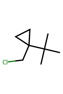 CC(C)(C)C1(CCl)CC1